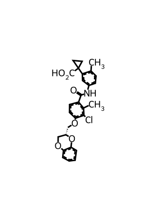 Cc1ccc(NC(=O)c2ccc(OC[C@H]3COc4ccccc4O3)c(Cl)c2C)cc1C1(C(=O)O)CC1